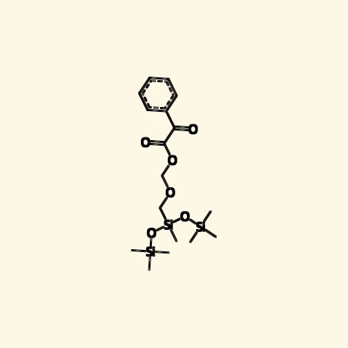 C[Si](C)(C)O[Si](C)(COCOC(=O)C(=O)c1ccccc1)O[Si](C)(C)C